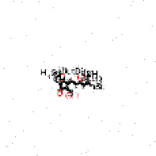 CCCCC(C)CC(C=CC1C(O[Si](C)(C)C(C)(C)C)CC(=O)C1CO)O[Si](C)(C)C(C)(C)C